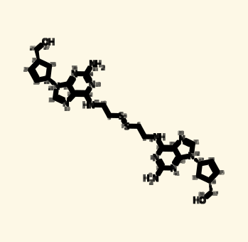 Nc1nc(NCCSSCCNc2nc(N)nc3c2ncn3[C@H]2C=C[C@@H](CO)C2)c2ncn([C@@H]3C=C[C@H](CO)C3)c2n1